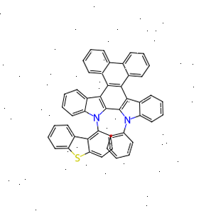 c1ccc(-n2c3ccccc3c3c4c5ccccc5c5ccccc5c4c4c5ccccc5n(-c5cccc6sc7ccccc7c56)c4c32)cc1